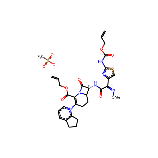 C=CCOC(=O)Nc1nc(/C(=N/OC)C(=O)N[C@H]2C(=O)N3C(C(=O)OCC=C)=C([n+]4cccc5c4CCC5)CCC23)cs1.O=S(=O)([O-])C(F)(F)F